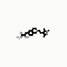 Cc1nn(C)c(C)c1CCN1CCc2cc(/C=C(\O)C(N)=O)ccc2C1